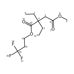 CCC(CC)(CC(=O)OC)C(=O)OCCC(F)(F)F